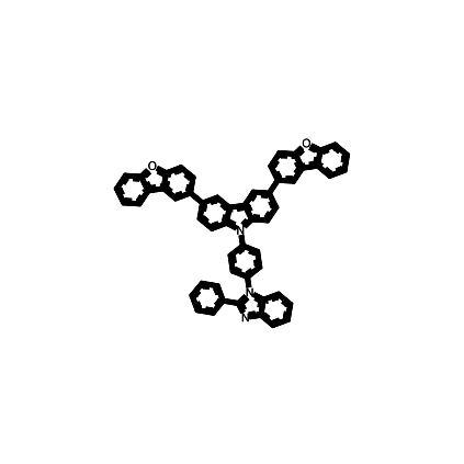 c1ccc(-c2nc3ccccc3n2-c2ccc(-n3c4ccc(-c5ccc6oc7ccccc7c6c5)cc4c4cc(-c5ccc6oc7ccccc7c6c5)ccc43)cc2)cc1